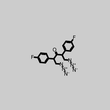 [N-]=[N+]=NCC(C(=O)C(CN=[N+]=[N-])c1ccc(F)cc1)c1ccc(F)cc1